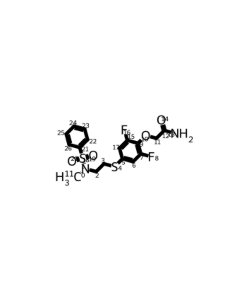 [11CH3]N(CCSc1cc(F)c(OCC(N)=O)c(F)c1)S(=O)(=O)c1ccccc1